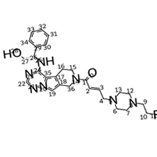 O=C(/C=C/CN1CCN(CCF)CC1)N1CCc2c(cn3ncnc(N[C@H](CO)c4ccccc4)c23)C1